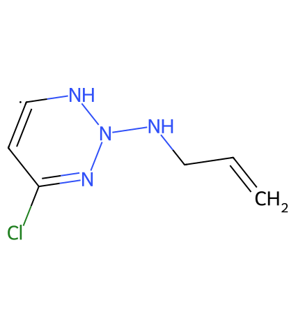 C=CCNN1N=C(Cl)C=[C]N1